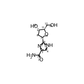 NC(=O)c1c[nH]c([C@H]2C[C@H](O)[C@@H](CO)O2)n1